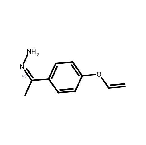 C=COc1ccc(/C(C)=N\N)cc1